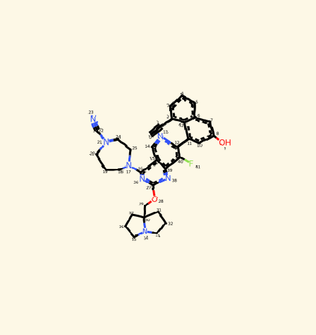 C#Cc1cccc2cc(O)cc(-c3ncc4c(N5CCCN(C#N)CC5)nc(OCC56CCCN5CCC6)nc4c3F)c12